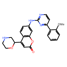 COc1ccccc1-c1ccnc(Nc2ccc3c(C4CNCCO4)cc(=O)oc3c2)n1